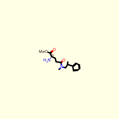 COC(=O)[C@@H](N)CCC(=O)N(C)CC(C)c1ccccc1